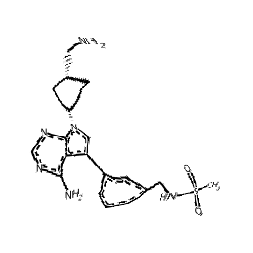 CS(=O)(=O)NCc1cccc(-c2cn([C@H]3C[C@@H](CN)C3)c3ncnc(N)c23)c1